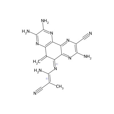 C=C1/C(=N\C(N)=C(/C)C#N)c2nc(N)c(C#N)nc2-c2nc(N)c(N)nc21